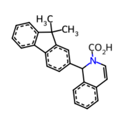 CC1(C)c2ccccc2-c2ccc(C3c4ccccc4C=CN3C(=O)O)cc21